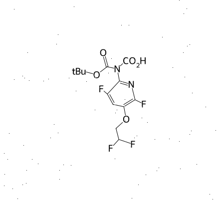 CC(C)(C)OC(=O)N(C(=O)O)c1nc(F)c(OCC(F)F)cc1F